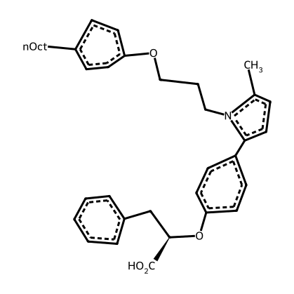 CCCCCCCCc1ccc(OCCCn2c(C)ccc2-c2ccc(O[C@H](Cc3ccccc3)C(=O)O)cc2)cc1